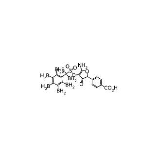 Bc1c(B)c(B)c(C(B)(B)S(=O)(=O)OC2=C(N)OC(c3ccc(C(=O)O)cc3)C2=O)c(B)c1B